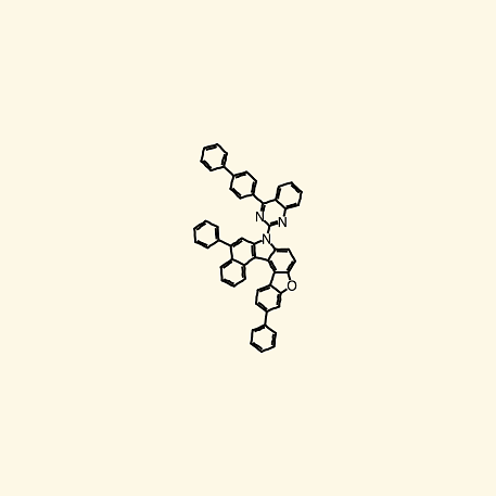 c1ccc(-c2ccc(-c3nc(-n4c5cc(-c6ccccc6)c6ccccc6c5c5c6c(ccc54)oc4cc(-c5ccccc5)ccc46)nc4ccccc34)cc2)cc1